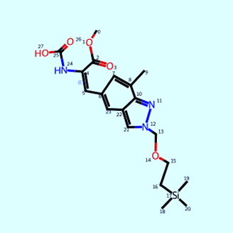 COC(=O)/C(=C\c1cc(C)c2nn(COCC[Si](C)(C)C)cc2c1)NC(=O)O